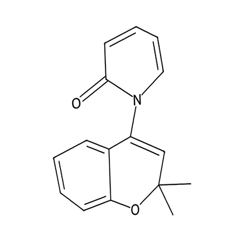 CC1(C)C=C(n2ccccc2=O)c2ccccc2O1